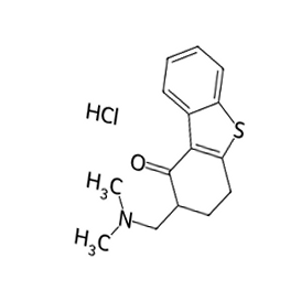 CN(C)CC1CCc2sc3ccccc3c2C1=O.Cl